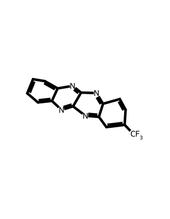 FC(F)(F)c1ccc2nc3nc4ccccc4nc3nc2c1